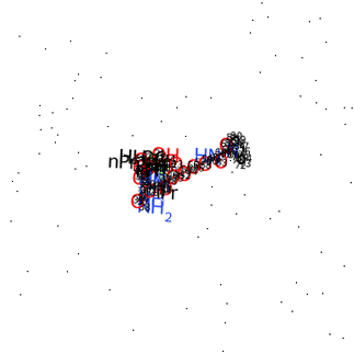 CCCC1O[C@@H]2C[C@H]3[C@@H]4C[C@H](F)C5=CC(=O)C=C[C@]5(C)[C@@]4(F)[C@@H](O)C[C@]3(C)[C@]2(C(=O)CNC(=O)[C@H](CCCNC(N)=O)NC(=O)[C@@H](NC(=O)CCOCCOCCOCCOCCNC(=O)CCC(=O)N2Cc3ccccc3/C=C\c3ccccc32)C(C)C)O1